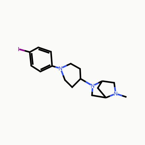 CN1CC2CC1CN2C1CCN(c2ccc(I)cc2)CC1